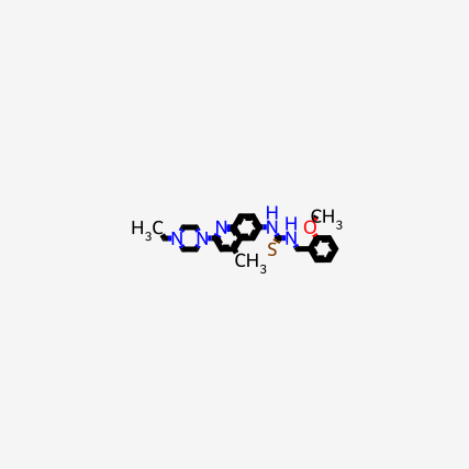 CCN1CCN(c2cc(C)c3cc(NC(=S)NCc4ccccc4OC)ccc3n2)CC1